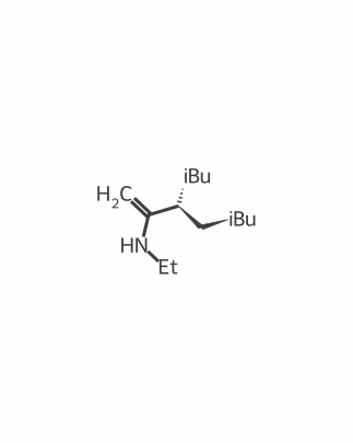 C=C(NCC)[C@H](C[C@H](C)CC)[C@@H](C)CC